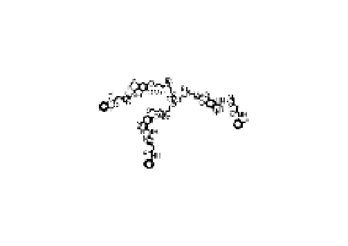 CCN(CCCOc1cc2ncnc(Nc3ncc(CC(=O)Nc4ccccc4F)s3)c2cc1OC)CCOP(=O)(OCCN(CC)CCCOc1cc2ncnc(Nc3ncc(CC(=O)Nc4ccccc4F)s3)c2cc1OC)OCCN(CC)CCCOc1cc2ncnc(Nc3ncc(CC(=O)Nc4ccccc4F)s3)c2cc1OC